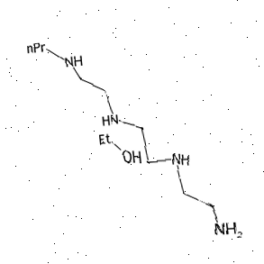 CCCNCCNCCNCCN.CCO